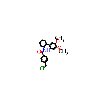 COc1ccc(C2CCCCC2NC(=O)c2ccc(CCl)cc2)cc1OC